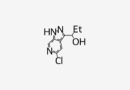 CCC(O)c1n[nH]c2cnc(Cl)cc12